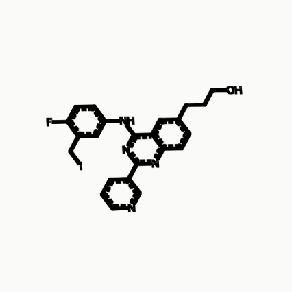 OCCCc1ccc2nc(-c3cccnc3)nc(Nc3ccc(F)c(CI)c3)c2c1